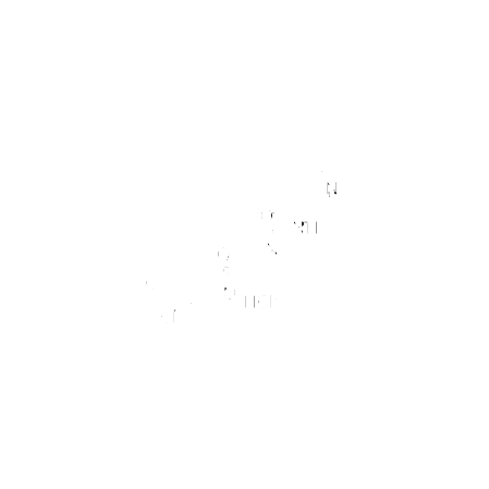 CSc1ccc(S(=O)(=O)C2CCCN(C(=O)NCCN(C)C)C2)cc1Cl.Cl